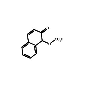 O=C(O)OC1C(=O)C=Cc2ccccc21